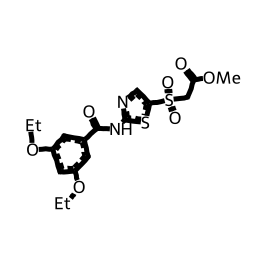 CCOc1cc(OCC)cc(C(=O)Nc2ncc(S(=O)(=O)CC(=O)OC)s2)c1